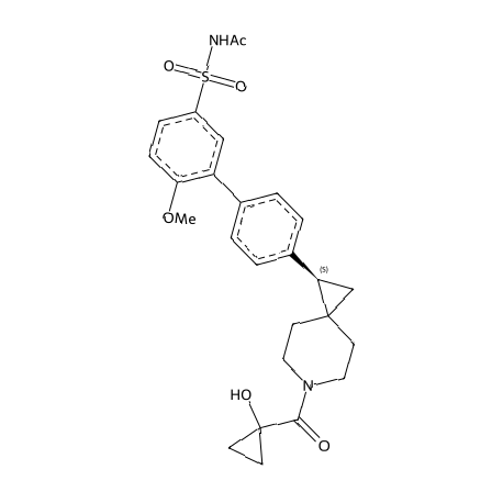 COc1ccc(S(=O)(=O)NC(C)=O)cc1-c1ccc([C@H]2CC23CCN(C(=O)C2(O)CC2)CC3)cc1